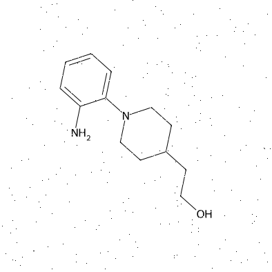 Nc1ccccc1N1CCC(CCO)CC1